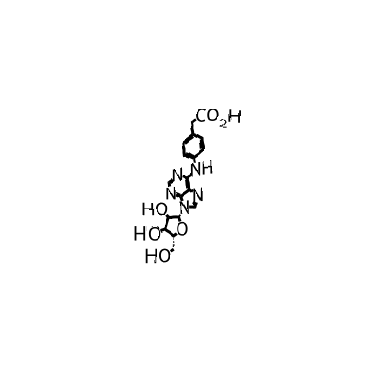 O=C(O)Cc1ccc(Nc2ncnc3c2ncn3[C@@H]2O[C@H](CO)C(O)C2O)cc1